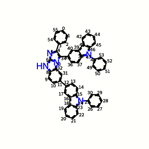 c1ccc(-c2nc3[nH]c4ccc(-c5ccc6c(c5)c5ccccc5n6-c5ccccc5)cc4n3c2-c2ccc3c(c2)c2ccccc2n3-c2ccccc2)cc1